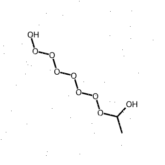 CC(O)OOOOOOOO